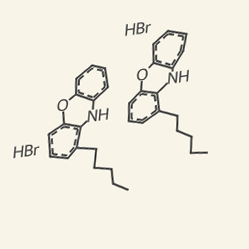 Br.Br.CCCCCc1cccc2c1Nc1ccccc1O2.CCCCCc1cccc2c1Nc1ccccc1O2